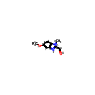 COc1ccc2c(c1)nc(C=O)n2C